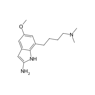 COc1cc(CCCCN(C)C)c2[nH]c(N)cc2c1